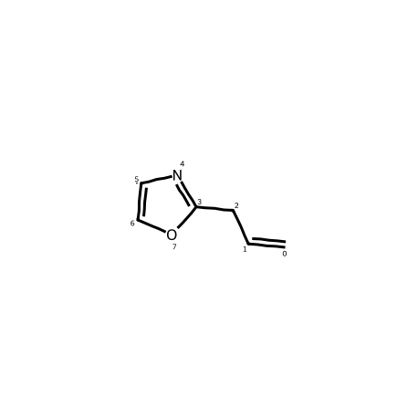 C=CCc1n[c]co1